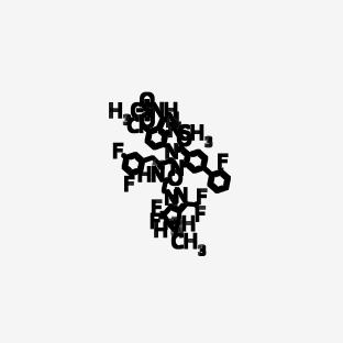 C[C@@H]1[C@@H]2c3c(C(F)F)nn(CC(=O)N[C@@H](Cc4cc(F)cc(F)c4)c4nc5cc(-c6ccccc6F)ccc5c(=O)n4-c4ccc(Cl)c5c(NS(C)(=O)=O)nn(C)c45)c3C(F)(F)[C@H]12